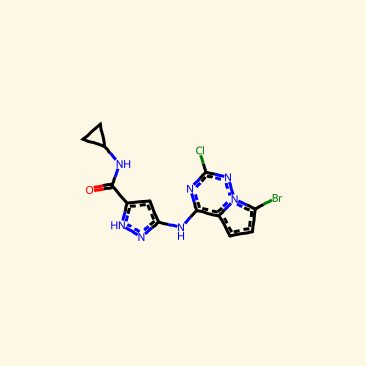 O=C(NC1CC1)c1cc(Nc2nc(Cl)nn3c(Br)ccc23)n[nH]1